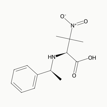 C[C@H](N[C@H](C(=O)O)C(C)(C)[N+](=O)[O-])c1ccccc1